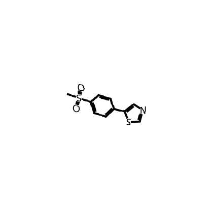 CS(=O)(=O)c1ccc(-c2cncs2)cc1